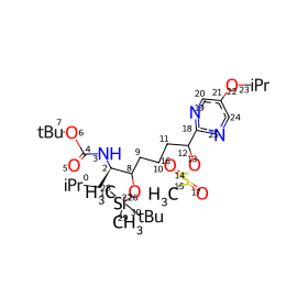 CC(C)C[C@@H](NC(=O)OC(C)(C)C)C(CCCC(OS(C)(=O)=O)c1ncc(OC(C)C)cn1)O[Si](C)(C)C(C)(C)C